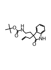 C=CCC1(CCNC(=O)OC(C)(C)C)C(=O)Nc2ccccc21